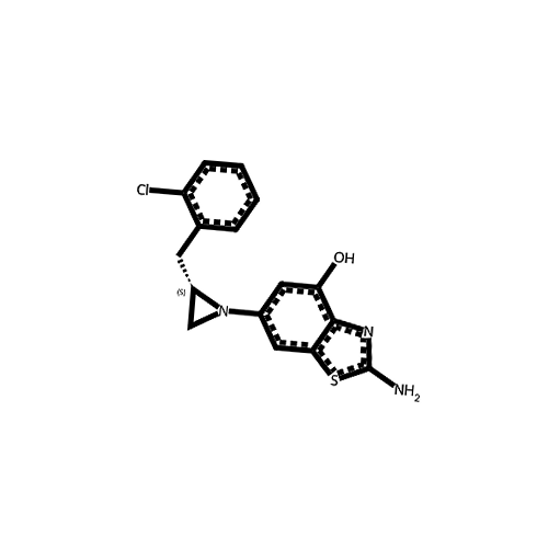 Nc1nc2c(O)cc(N3C[C@@H]3Cc3ccccc3Cl)cc2s1